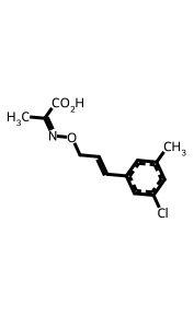 C/C(=N/OC/C=C/c1cc(C)cc(Cl)c1)C(=O)O